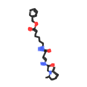 CC1CCCC(C)N1CC(=O)NCCC(=O)NCCCCCC(=O)OCc1ccccc1